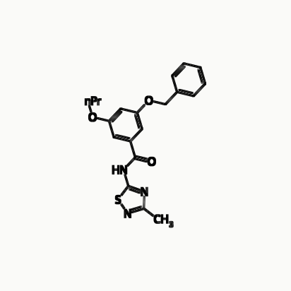 CCCOc1cc(OCc2ccccc2)cc(C(=O)Nc2nc(C)ns2)c1